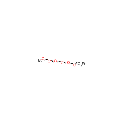 CCOCCOCCOCCOCCOCCOC(=O)OCC